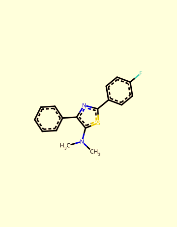 CN(C)c1sc(-c2ccc(F)cc2)nc1-c1ccccc1